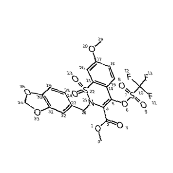 COC(=O)C1=C(OS(=O)(=O)C(F)(F)F)c2ccc(OC)cc2S(=O)(=O)N1Cc1ccc2c(c1)OCO2